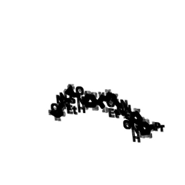 CCn1c(SC2(C(=O)Nc3ccc(C(C)Cc4ccc(-c5nnc(SC6(C(=O)Nc7ccc(C(C)C)cc7)CCCC6)n5CC)o4)cc3)CC2)nnc1-c1ccco1